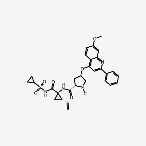 C=C[C@@H]1C[C@]1(NC(=O)[C@@H]1C[C@@H](Oc2cc(-c3ccccc3)nc3cc(OC)ccc23)CN1Cl)C(=O)NS(=O)(=O)C1CC1